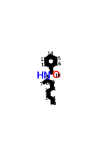 C=C/C=C\C=C/C(C)NC(=O)c1ccccc1